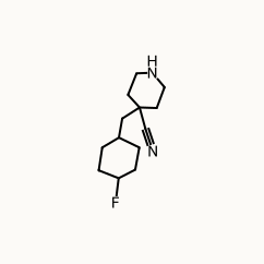 N#CC1(CC2CCC(F)CC2)CCNCC1